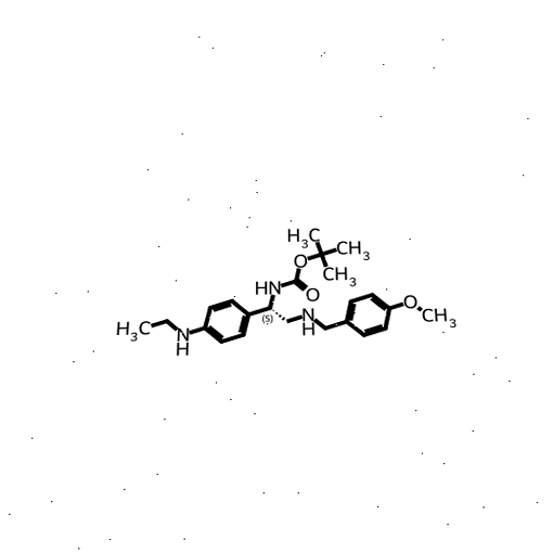 CCNc1ccc([C@@H](CNCc2ccc(OC)cc2)NC(=O)OC(C)(C)C)cc1